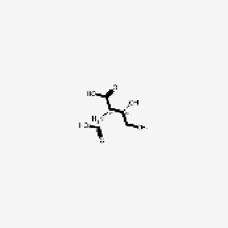 CC[C@@H](O)[C@H](N)C(=O)O.O=CO